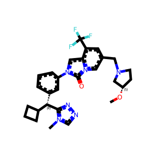 CO[C@H]1CCN(Cc2cc(C(F)(F)F)c3cn(-c4cccc([C@H](c5nncn5C)C5CCC5)c4)c(=O)n3c2)C1